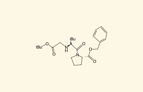 CC[C@H](C)[C@H](NCC(=O)OC(C)(C)C)C(=O)N1CCC[C@H]1C(=O)OCc1ccccc1